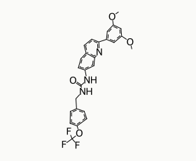 COc1cc(OC)cc(-c2ccc3ccc(NC(=O)NCc4ccc(OC(F)(F)F)cc4)cc3n2)c1